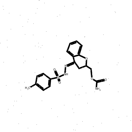 Cc1ccc(S(=O)(=O)NN=C2CC(COC(N)=O)Oc3ccccc32)cc1